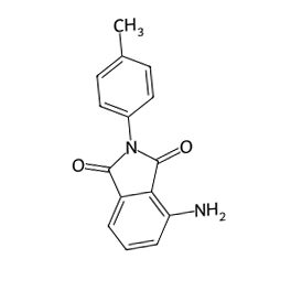 Cc1ccc(N2C(=O)c3cccc(N)c3C2=O)cc1